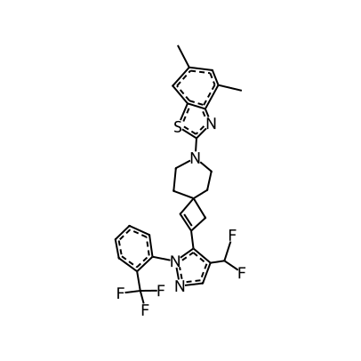 Cc1cc(C)c2nc(N3CCC4(C=C(c5c(C(F)F)cnn5-c5ccccc5C(F)(F)F)C4)CC3)sc2c1